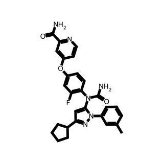 Cc1cccc(-n2nc(C3CCCC3)cc2N(C(N)=O)c2ccc(Oc3ccnc(C(N)=O)c3)cc2F)c1